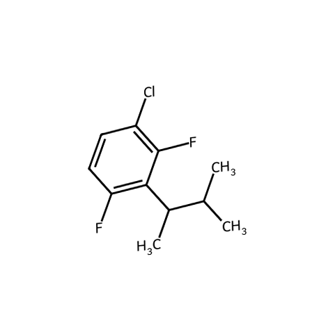 CC(C)C(C)c1c(F)ccc(Cl)c1F